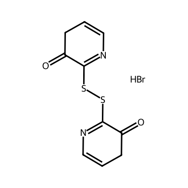 Br.O=C1CC=CN=C1SSC1=NC=CCC1=O